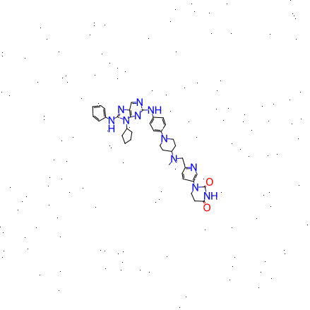 CN(Cc1ccc(N2CCC(=O)NC2=O)cn1)C1CCN(c2ccc(Nc3ncc4nc(Nc5ccccc5)n(C5CCCC5)c4n3)cc2)CC1